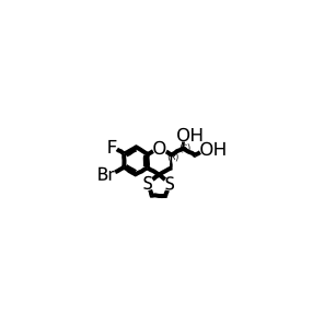 OC[C@H](O)[C@H]1CC2(SCCS2)c2cc(Br)c(F)cc2O1